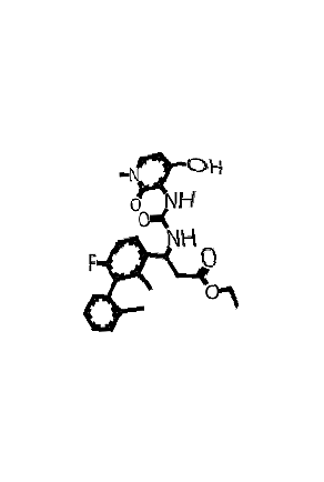 CCOC(=O)CC(NC(=O)Nc1c(O)ccn(C)c1=O)c1ccc(F)c(-c2ccccc2C)c1C